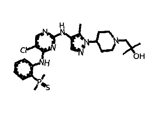 Cc1c(Nc2ncc(Cl)c(Nc3ccccc3P(C)(C)=S)n2)cnn1C1CCN(CC(C)(C)O)CC1